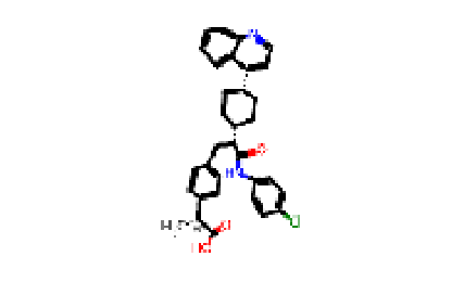 C[C@@H](C(=O)O)c1ccc(CC(C(=O)Nc2ccc(Cl)cc2)[C@H]2CC[C@@H](c3ccnc4ccccc43)CC2)cc1